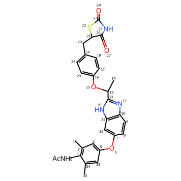 CC(=O)Nc1c(C)cc(Oc2ccc3nc(C(C)Oc4ccc(CC5SC(=O)NC5=O)cc4)[nH]c3c2)cc1C